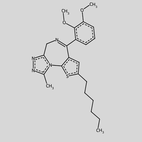 CCCCCCc1cc2c(s1)-n1c(C)nnc1CN=C2c1cccc(OC)c1OC